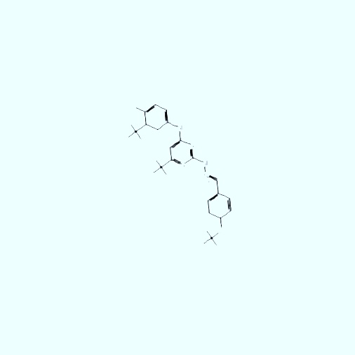 FC1=CC=C(Nc2cc(C(F)(F)F)nc(N/N=C/C3=CCC(OC(F)(F)F)C=C3)n2)CC1C(F)(F)F